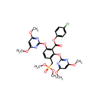 COc1cc(OC)nc(Oc2ccc(CP(=O)(OC)OC)c(Oc3nc(OC)cc(OC)n3)c2C(=O)Oc2ccc(Cl)cc2)n1